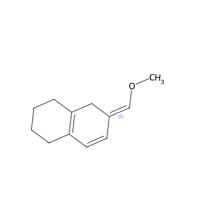 CO/C=C1/C=CC2=C(CCCC2)C1